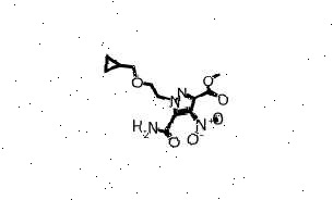 COC(=O)c1nn(CCOCC2CC2)c(C(N)=O)c1[N+](=O)[O-]